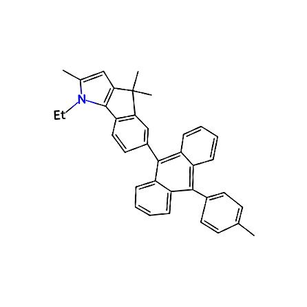 CCn1c(C)cc2c1-c1ccc(-c3c4ccccc4c(-c4ccc(C)cc4)c4ccccc34)cc1C2(C)C